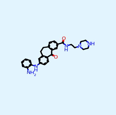 Nc1ccccc1Nc1ccc2c(c1)CCc1ccc(C(=O)NCCN3CCNCC3)cc1C2=O